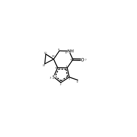 Cc1csc2c1C(=O)NCC21CC1